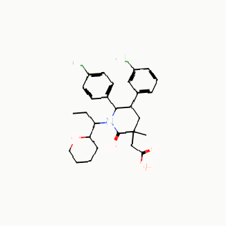 CCC(C1CCCCO1)N1C(=O)C(C)(CC(=O)O)CC(c2cccc(Cl)c2)C1c1ccc(Cl)cc1